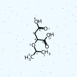 CC(C)OC(CC(=O)O)C(=O)O